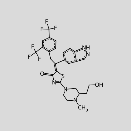 CN1CCN(C2=NC(=O)C(=C(Cc3ccc(C(F)(F)F)cc3C(F)(F)F)c3ccc4[nH]ncc4c3)S2)CC1CCO